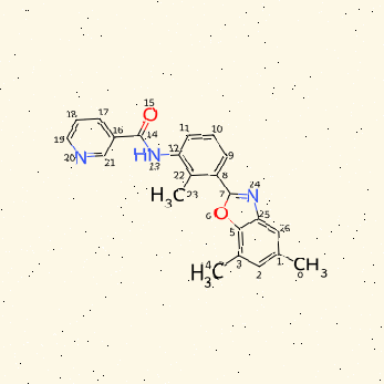 Cc1cc(C)c2oc(-c3cccc(NC(=O)c4cccnc4)c3C)nc2c1